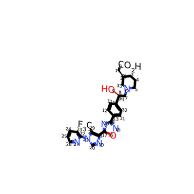 O=C(O)C[C@H]1CCCN(C[C@H](O)c2ccc(-c3noc(-c4ncn(-c5ccccn5)c4C(F)(F)F)n3)cc2)C1